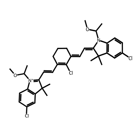 COC(C)N1/C(=C/C=C2\CCCC(/C=C/C3=[N+](C(C)OC)c4ccc(Cl)cc4C3(C)C)=C2Cl)C(C)(C)c2cc(Cl)ccc21